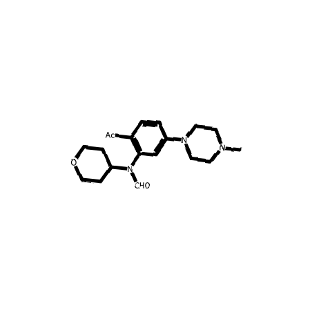 CC(=O)c1ccc(N2CCN(C)CC2)cc1N(C=O)C1CCOCC1